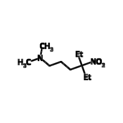 CCC(CC)(CCCN(C)C)[N+](=O)[O-]